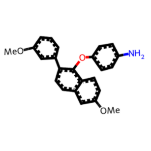 COc1cccc(-c2ccc3cc(OC)ccc3c2Oc2ccc(N)cc2)c1